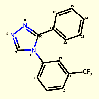 FC(F)(F)c1cccc(-n2cnnc2-c2ccccc2)c1